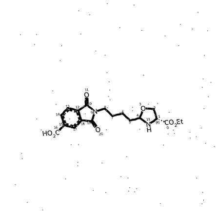 CCOC(=O)[C@H]1COC(CCCCN2C(=O)c3ccc(C(=O)O)cc3C2=O)N1